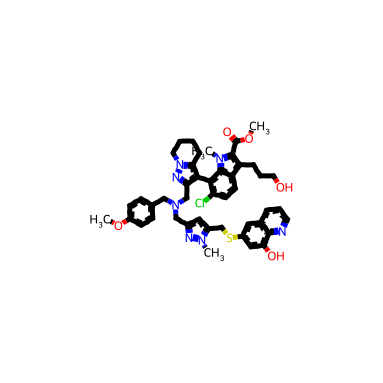 COC(=O)c1c(CCCO)c2ccc(Cl)c(-c3c(CN(Cc4ccc(OC)cc4)Cc4cc(CSc5cc(O)c6ncccc6c5)n(C)n4)nn4c3CCCC4)c2n1C